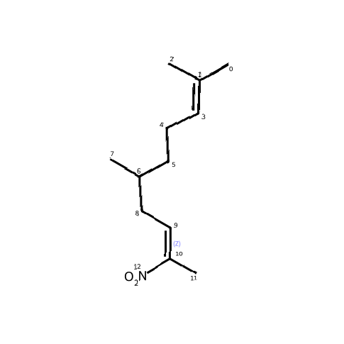 CC(C)=CCCC(C)C/C=C(/C)[N+](=O)[O-]